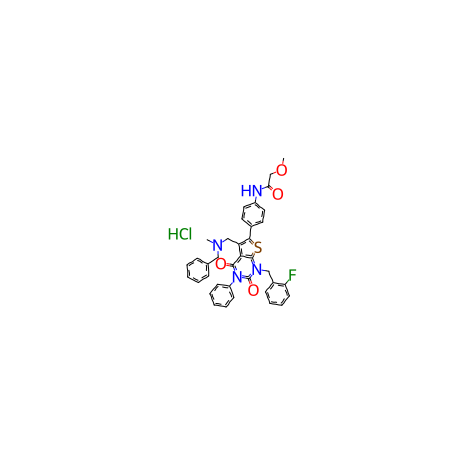 COCC(=O)Nc1ccc(-c2sc3c(c2CN(C)Cc2ccccc2)c(=O)n(-c2ccccc2)c(=O)n3Cc2ccccc2F)cc1.Cl